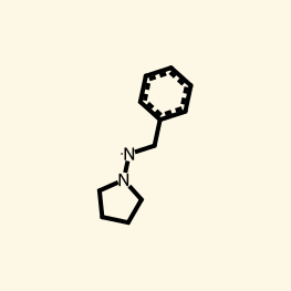 c1ccc(C[N]N2CCCC2)cc1